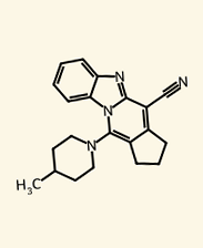 CC1CCN(c2c3c(c(C#N)c4nc5ccccc5n24)CCC3)CC1